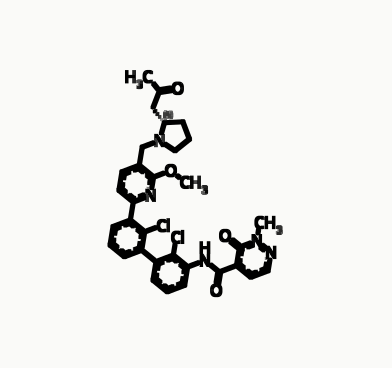 COc1nc(-c2cccc(-c3cccc(NC(=O)c4ccnn(C)c4=O)c3Cl)c2Cl)ccc1CN1CCC[C@H]1CC(C)=O